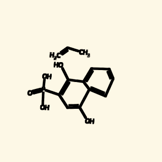 C=CC.O=P(O)(O)c1cc(O)c2ccccc2c1O